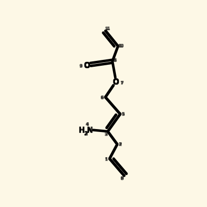 C=CCC(N)=CCOC(=O)C=C